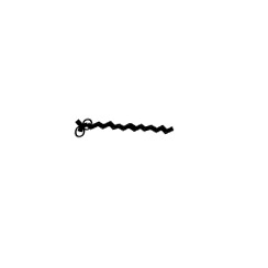 CCCCCCC/C=C/CCCCCCCOC(C)=O